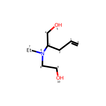 C=CCC(CO)N(CC)CCO